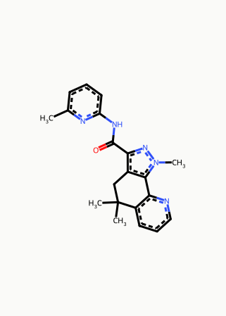 Cc1cccc(NC(=O)c2nn(C)c3c2CC(C)(C)c2cccnc2-3)n1